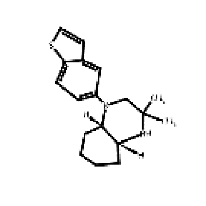 CC1(C)CN(c2ccc3sccc3c2)[C@H]2CCCC[C@H]2N1